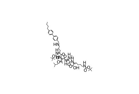 CCCCc1ccc(-c2ccc(CNCCC[C@H](NC(=O)OC(C)(C)C)C(=O)N[C@H](C(=O)N[C@@H](N)C(=O)N[C@@H](CCCCNC(=O)OC(C)(C)C)C(=O)O)[C@@H](C)OCC(C)C)cc2)cc1